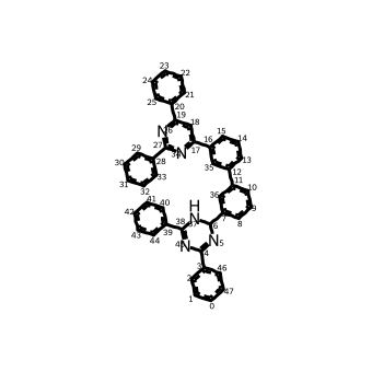 c1ccc(C2=NC(c3cccc(-c4cccc(-c5cc(-c6ccccc6)nc(-c6ccccc6)n5)c4)c3)NC(c3ccccc3)=N2)cc1